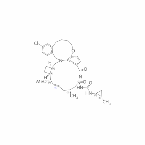 CO[C@H]1/C=C/C[C@H](C)CS(=O)(NC(=O)N[C@H]2C[C@@H]2C)=NC(=O)c2ccc3c(c2)N(Cc2ccc(Cl)cc2CCCCO3)C[C@@H]2CC[C@H]21